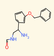 NC(CNC=O)c1cccc(OCc2ccccc2)c1